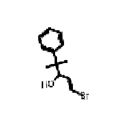 CC(C)(c1ccccc1)C(O)C=CBr